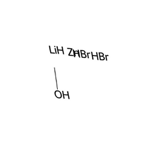 Br.Br.CO.[LiH].[Zn]